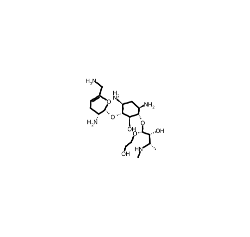 CN[C@@H](C)[C@@H](O)[C@H](OCCO)O[C@@H]1[C@@H](O)[C@H](O[C@H]2OC(CN)=CC[C@H]2N)[C@@H](N)C[C@H]1N